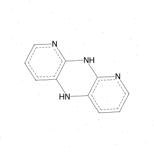 c1cnc2c(c1)Nc1cccnc1N2